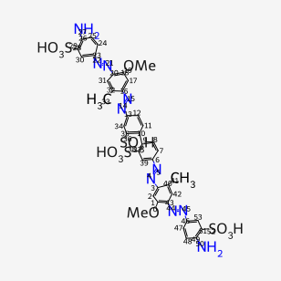 COc1cc(N=Nc2ccc(-c3ccc(N=Nc4cc(OC)c(N=Nc5ccc(N)c(S(=O)(=O)O)c5)cc4C)cc3S(=O)(=O)O)c(S(=O)(=O)O)c2)c(C)cc1N=Nc1ccc(N)c(S(=O)(=O)O)c1